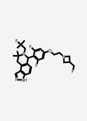 CC(C)(F)CN1C(c2c(F)cc(OCCN3CC(CF)C3)cc2F)c2ccc3[nH]ncc3c2CC1(C)C